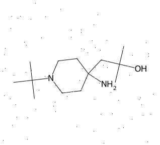 CC(C)(O)CC1(N)CCN(C(C)(C)C)CC1